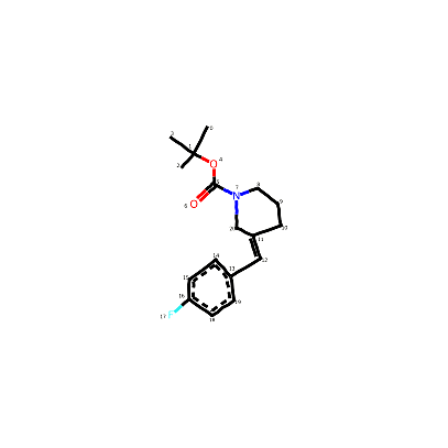 CC(C)(C)OC(=O)N1CCCC(=Cc2ccc(F)cc2)C1